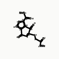 CNC(=O)CSC1=CC(=O)c2onc(C(=O)NC)c2C1=O